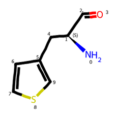 N[C@H]([C]=O)Cc1ccsc1